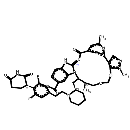 CNC(=O)c1ccc2c(c1)N1/C(=N/C(=O)c3cc(C)nc(c3)-c3cnn(C)c3OCCC[C@@H](C)C1C[C@H]1CCCCN1CCc1cc(F)c([C@H]3CCC(=O)NC3=O)c(F)c1)N2